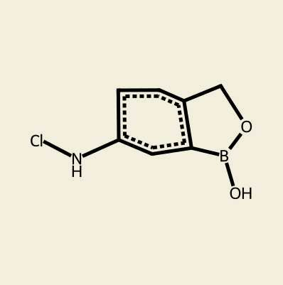 OB1OCc2ccc(NCl)cc21